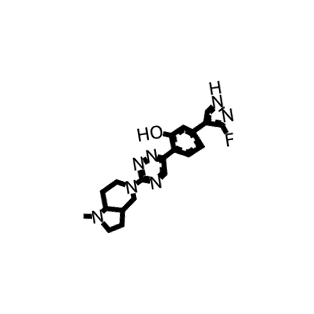 CN1CCC2CN(c3ncc(-c4ccc(-c5c[nH]nc5F)cc4O)nn3)CCC21